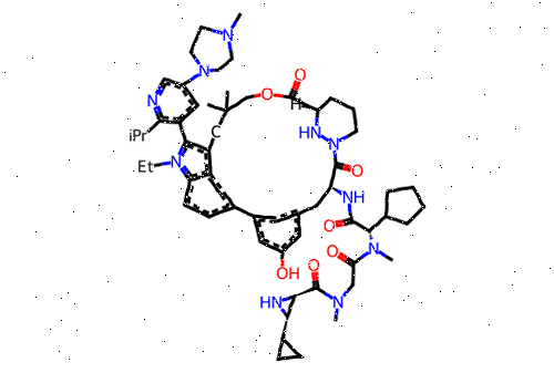 CCn1c(-c2cc(N3CCN(C)CC3)cnc2C(C)C)c2c3cc(ccc31)-c1cc(O)cc(c1)C[C@H](NC(=O)[C@H](C1CCCC1)N(C)C(=O)CN(C)C(=O)[C@@H]1N[C@@H]1C1CC1)C(=O)N1CCC[C@H](N1)C(=O)OCC(C)(C)C2